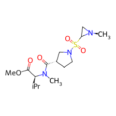 COC(=O)[C@H](C(C)C)N(C)C(=O)[C@H]1CCN(S(=O)(=O)C2C[N@@]2C)C1